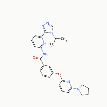 CC(C)n1cnnc1-c1cccc(NC(=O)c2cccc(Oc3cccc(N4CCCC4)n3)c2)n1